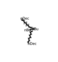 CCCCCCCCCCCCCCCCCC[P+](CCCC)(CCCC)CCCCCCCCCCCCCCCCCC.[Br-]